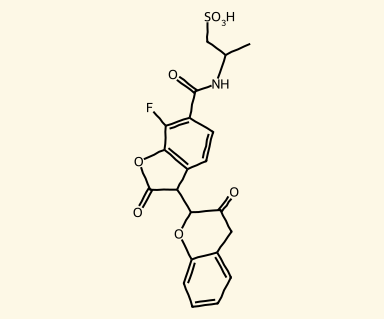 CC(CS(=O)(=O)O)NC(=O)c1ccc2c(c1F)OC(=O)C2C1Oc2ccccc2CC1=O